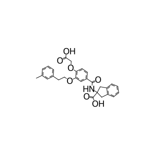 Cc1cccc(CCOc2cc(C(=O)NC3(C(=O)O)Cc4ccccc4C3)ccc2OCC(=O)O)c1